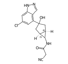 N#CCC(=O)NC1[C@H]2CC(O)(c3cc(Cl)cc4[nH]ncc34)C[C@@H]12